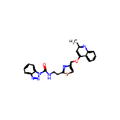 Cc1cc(OCc2csc(CCNC(=O)n3nnc4ccccc43)n2)c2ccccc2n1